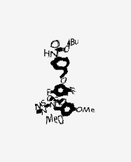 COc1ccc(CN(c2ncns2)S(=O)(=O)c2cc(F)c(OCCC3CCC(NC(=O)OC(C)(C)C)CC3)cc2F)c(OC)c1